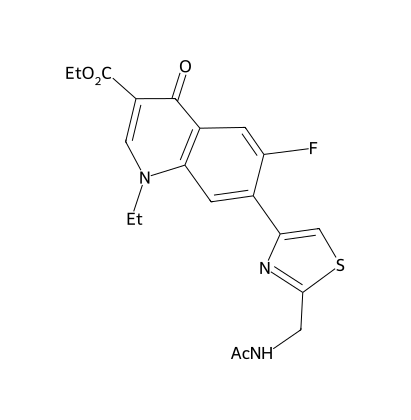 CCOC(=O)c1cn(CC)c2cc(-c3csc(CNC(C)=O)n3)c(F)cc2c1=O